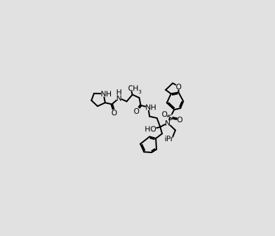 CC(C)CN(C(O)(CCNC(=O)CC(C)CNC(=O)C1CCCN1)Cc1ccccc1)S(=O)(=O)c1ccc2c(c1)CCO2